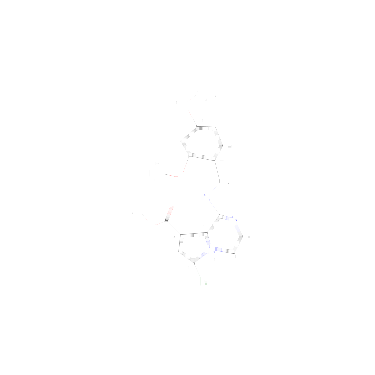 COC(=O)c1cc(Br)n2ccnc(NCc3ccc(OC)cc3OC)c12